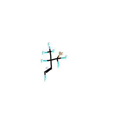 F/C=C/C(F)(C(F)(F)F)C(F)(F)Br